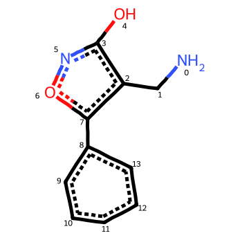 NCc1c(O)noc1-c1ccccc1